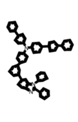 c1ccc(-c2ccc(-c3ccc(N(c4ccc(-c5ccccc5)cc4)c4ccc(-c5cccc(-c6ccc7nc(-c8ccccc8)n(-c8ccccc8)c7c6)c5)cc4)cc3)cc2)cc1